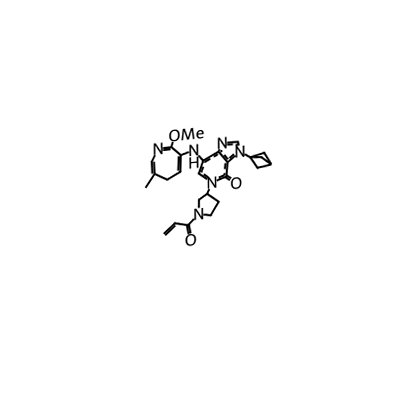 C=CC(=O)N1CCC(n2cc(NC3=CCC(C)=CN=C3OC)c3ncn(C45CC(C4)C5)c3c2=O)C1